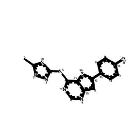 Cc1nnc(Sc2ncnc3cc(-c4ccc(Cl)cc4)sc23)s1